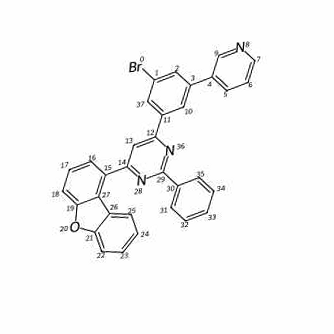 Brc1cc(-c2cccnc2)cc(-c2cc(-c3cccc4oc5ccccc5c34)nc(-c3ccccc3)n2)c1